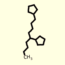 CCCCC(CCCCC1CCCC1)C1CCCC1